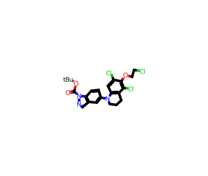 CC(C)(C)OC(=O)n1ncc2cc(N3CCCc4c3cc(Cl)c(OCCCl)c4Cl)ccc21